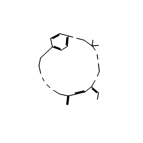 C=C1/C=C\C(=C/C)CCCOC(C)(O)CCc2ccc(cc2)CCSSCC1